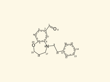 O=Cc1ccc2c(c1)N(CCc1ccccc1)CCCO2